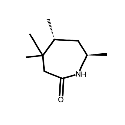 C[C@@H]1C[C@@H](C)C(C)(C)CC(=O)N1